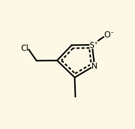 Cc1n[s+]([O-])cc1CCl